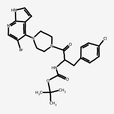 CC(C)(C)OC(=O)NC(Cc1ccc(Cl)cc1)C(=O)N1CCN(c2c(Br)cnc3[nH]ccc23)CC1